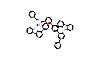 c1ccc(-c2ccc(-n3c4ccccc4c4ccccc43)c(-c3ccc(-c4cccc(-c5nc(-c6ccccc6)nc(-n6c7ccccc7c7cccc(-c8ccccc8)c76)n5)c4)cc3)c2)cc1